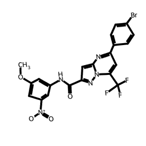 COc1cc(NC(=O)c2cc3nc(-c4ccc(Br)cc4)cc(C(F)(F)F)n3n2)cc([N+](=O)[O-])c1